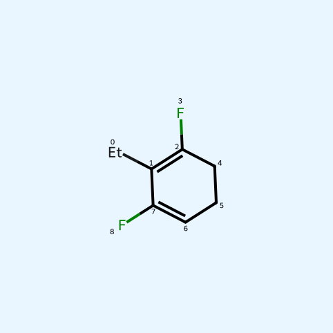 CCC1=C(F)CCC=C1F